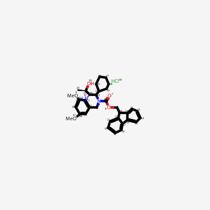 COc1cc(CN(C(=O)OCC2c3ccccc3-c3ccccc32)C(C2CCCCC2)[C@H](N)[C@@H](C)O)cc(OC)c1.Cl